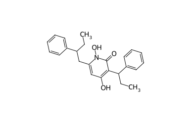 CCC(Cc1cc(O)c(C(CC)c2ccccc2)c(=O)n1O)c1ccccc1